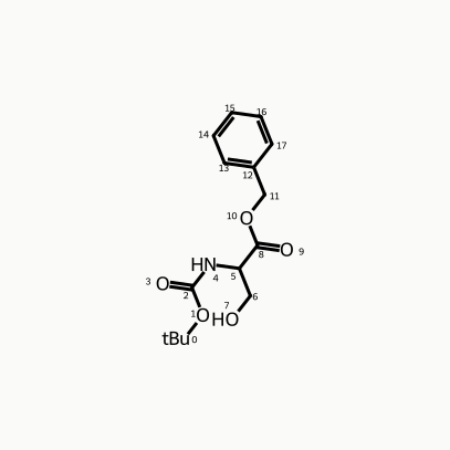 CC(C)(C)OC(=O)NC(CO)C(=O)OCc1ccccc1